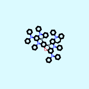 C1=Cc2c(ccc3c2N(c2ccccc2)c2cc(N(c4ccccc4)c4ccccc4)cc4c2B3c2cc3c(cc2O4)N(c2ccccc2)c2cc(N(c4ccccc4)c4ccccc4)cc4c2B3c2ccccc2N4c2ccccc2)N(c2ccccc2)c2ccccc21